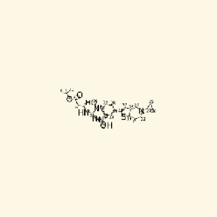 CC(C)OC(=O)CCNc1n[n+](O)c2cc(-c3cc4c(s3)CCN(C3CC3)C4)ccc2[n+]1O